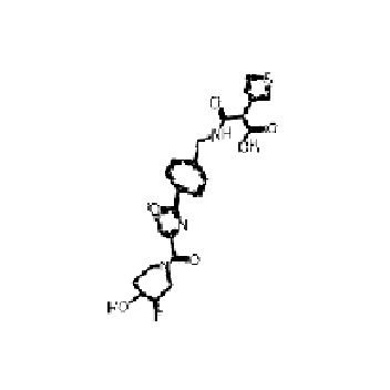 O=C(O)C(C(=O)NCc1ccc(-c2nc(C(=O)N3CCC(O)C(F)C3)co2)cc1)c1ccsc1